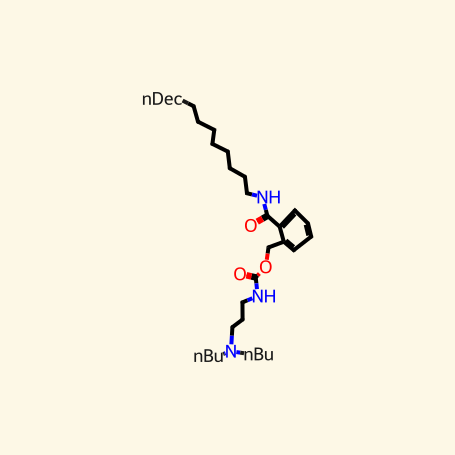 CCCCCCCCCCCCCCCCCCNC(=O)c1ccccc1COC(=O)NCCCN(CCCC)CCCC